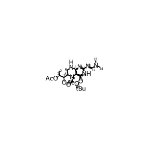 CC(=O)O[C@@H](C)[C@H](OC(C)=O)C1CNc2nc(/N=C/N(C)C)[nH]c(=O)c2N1C(=O)OC(C)(C)C